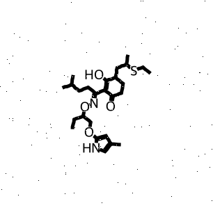 CCSC(C)CC1CCC(=O)C(C(CCC(C)C)=NOC(CC)COc2cc(C)c[nH]2)=C1O